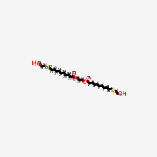 O=C(CCCCCCCCCCSCCO)OCCCOC(=O)CCCCCCCCCCSCCO